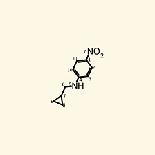 O=[N+]([O-])c1ccc(NCC2CC2)cc1